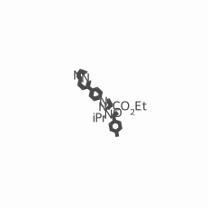 CCOC(=O)c1cn(-c2ccc(-c3ccc4nccn4c3)cc2)nc1N(C(=O)C1CCC(C)CC1)C(C)C